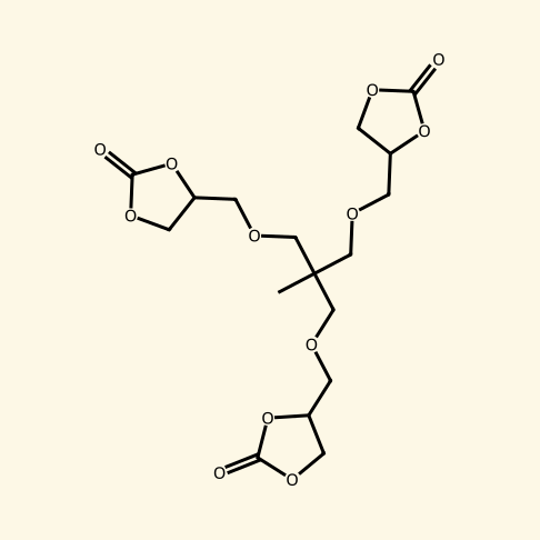 CC(COCC1COC(=O)O1)(COCC1COC(=O)O1)COCC1COC(=O)O1